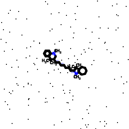 CN1C2=C(CCCCC2)C(C)(C)/C1=C\CC/C=C/C=C/C1CN(C)c2ccccc2C1(C)C